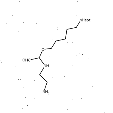 CCCCCCCCCCCCOC(C=O)NCCN